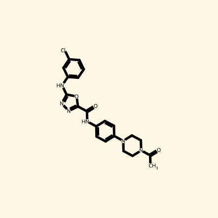 CC(=O)N1CCN(c2ccc(NC(=O)c3nnc(Nc4cccc(Cl)c4)o3)cc2)CC1